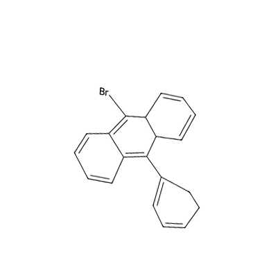 BrC1=c2ccccc2=C(C2=CC=CCC2)C2C=CC=CC12